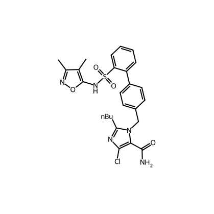 CCCCc1nc(Cl)c(C(N)=O)n1Cc1ccc(-c2ccccc2S(=O)(=O)Nc2onc(C)c2C)cc1